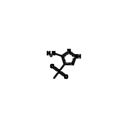 CS(=O)(=O)c1c[nH]nc1N